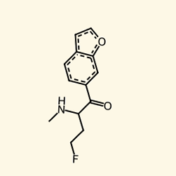 CNC(CCF)C(=O)c1ccc2ccoc2c1